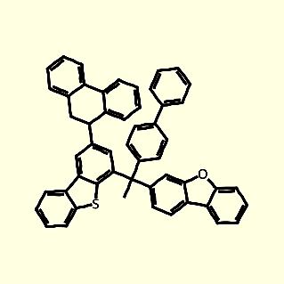 CC(c1ccc(-c2ccccc2)cc1)(c1ccc2c(c1)oc1ccccc12)c1cc(C2Cc3ccccc3-c3ccccc32)cc2c1sc1ccccc12